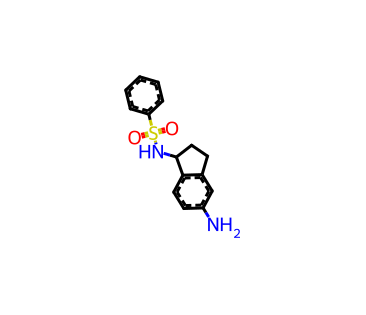 Nc1ccc2c(c1)CCC2NS(=O)(=O)c1ccccc1